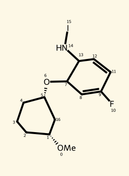 CO[C@@H]1CCC[C@H](OC2C=C(F)C=CC2NI)C1